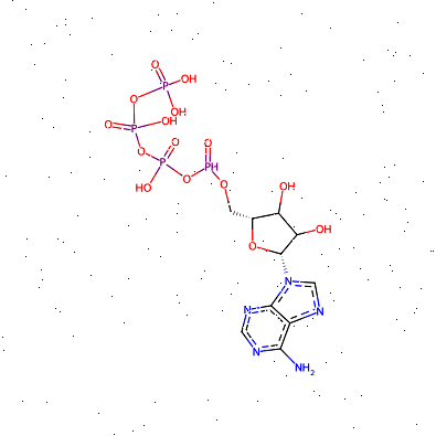 Nc1ncnc2c1ncn2[C@@H]1O[C@H](CO[PH](=O)OP(=O)(O)OP(=O)(O)OP(=O)(O)O)C(O)C1O